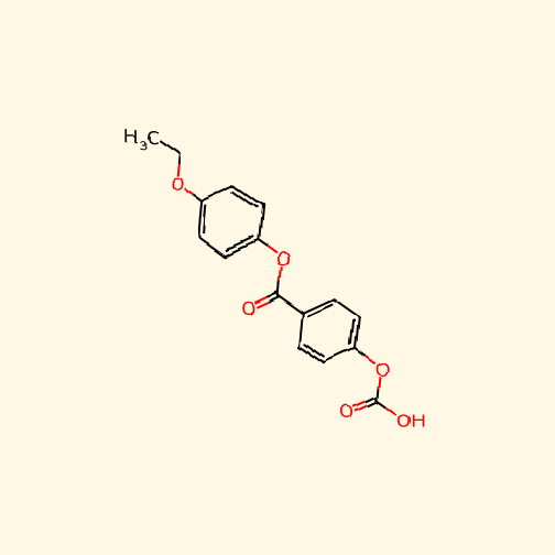 CCOc1ccc(OC(=O)c2ccc(OC(=O)O)cc2)cc1